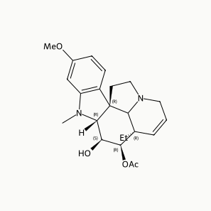 CC[C@]12C=CCN3CC[C@@]4(c5ccc(OC)cc5N(C)[C@H]4[C@H](O)[C@@H]1OC(C)=O)C32